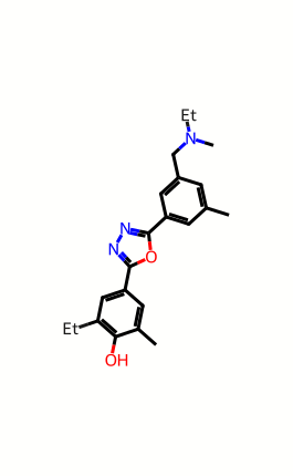 CCc1cc(-c2nnc(-c3cc(C)cc(CN(C)CC)c3)o2)cc(C)c1O